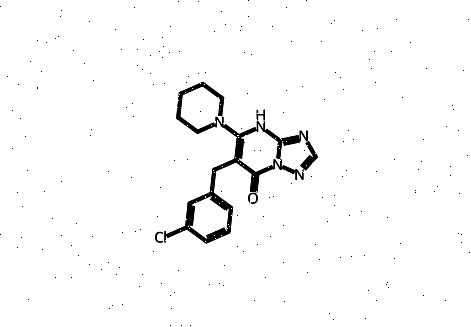 O=c1c(Cc2cccc(Cl)c2)c(N2CCCCC2)[nH]c2ncnn12